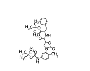 Cc1ccc(NC(=O)OC(C)(C)C)cc1N1CC(C(=O)NC(Cc2ccccc2)C(=O)OC(C)(C)C)OC1=O